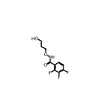 O=C(NOCCCO)c1ccc(F)c(F)c1F